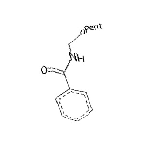 [CH2]CCCCCNC(=O)c1ccccc1